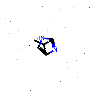 C[C]1c2c[nH]c1n2